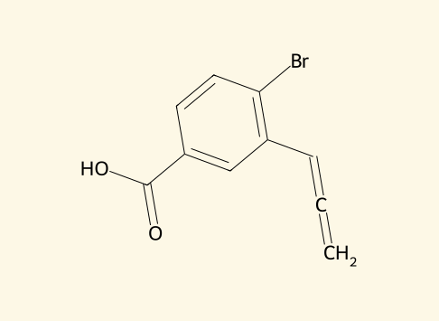 C=C=Cc1cc(C(=O)O)ccc1Br